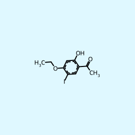 CCOc1cc(O)c(C(C)=O)cc1I